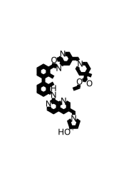 CCOC(=O)C1(C)CCN(Cc2cnc3oc(-c4cccc(-c5cccc(Nc6nccc7cc(CN8CC[C@@H](O)C8)cnc67)c5C)c4C)nc3c2)CC1